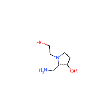 NCC1C(O)CCN1CCO